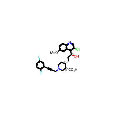 COc1ccc2ncc(Cl)c([C@@H](O)CC[C@H]3CCN(CC#Cc4cc(F)ccc4F)C[C@H]3C(=O)O)c2c1